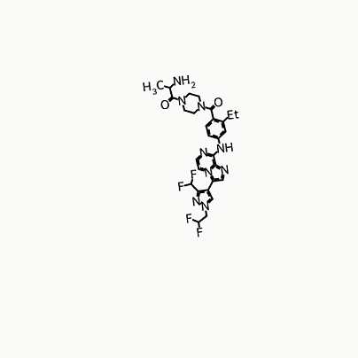 CCc1cc(Nc2nccn3c(-c4cn(CC(F)F)nc4C(F)F)cnc23)ccc1C(=O)N1CCN(C(=O)C(C)N)CC1